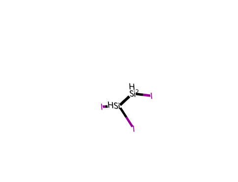 I[SiH2][SiH](I)I